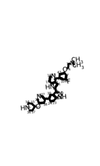 CN(C)CCOc1cc(F)cc(-c2nccc3[nH]c(-c4n[nH]c5ccc(-c6cncc(OC7CCNCC7)c6)cc45)cc23)c1